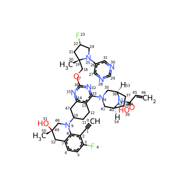 C#Cc1c(F)ccc2c1N([C@@H]1CCc3c(nc(OC[C@]4(C)C[C@@H](F)CN4c4cncnc4)nc3N3C[C@H]4CC(O)[C@@H](C3)N4C(=O)C=C)C1)C[C@@](C)(O)C2